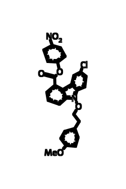 COc1ccc(CCOn2c3ccc(Cl)cc3c3c(C(=O)Oc4ccc([N+](=O)[O-])cc4)cccc32)cc1